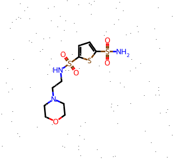 NS(=O)(=O)c1ccc(S(=O)(=O)NCCN2CCOCC2)s1